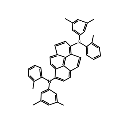 Cc1cc(C)cc(N(c2ccccc2C)c2ccc3ccc4c(N(c5cc(C)cc(C)c5)c5ccccc5C)ccc5ccc2c3c54)c1